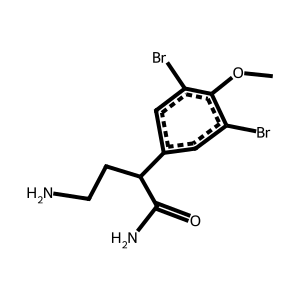 COc1c(Br)cc(C(CCN)C(N)=O)cc1Br